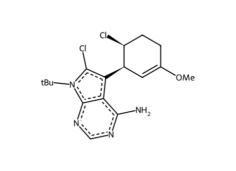 COC1=C[C@@H](c2c(Cl)n(C(C)(C)C)c3ncnc(N)c23)[C@@H](Cl)CC1